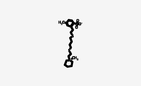 Cc1ccc(S(=O)(=O)[O-])c(CCSCCCCSCC[N+]2(C)CCCCC2)c1